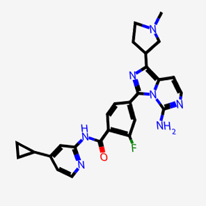 CN1CCC(c2nc(-c3ccc(C(=O)Nc4cc(C5CC5)ccn4)c(F)c3)n3c(N)nccc23)C1